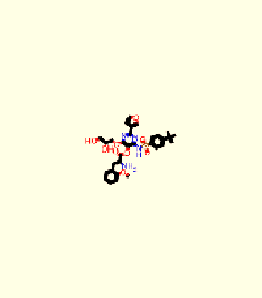 COc1ccccc1C[C@H](N)C(=O)Oc1c(NS(=O)(=O)c2ccc(C(C)(C)C)cc2)nc(-c2ccoc2)nc1OC[C@H](O)CO